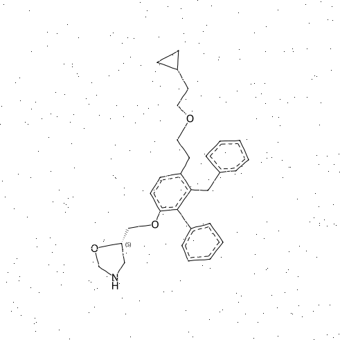 c1ccc(Cc2c(CCOCCC3CC3)ccc(OC[C@@H]3CNCO3)c2-c2ccccc2)cc1